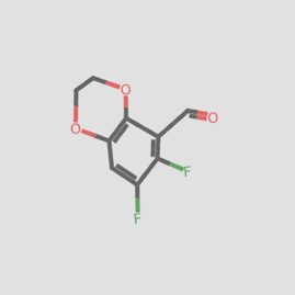 O=Cc1c(F)c(F)cc2c1OCCO2